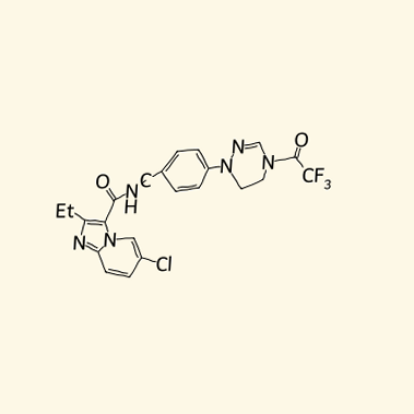 CCc1nc2ccc(Cl)cn2c1C(=O)NCc1ccc(N2CCN(C(=O)C(F)(F)F)C=N2)cc1